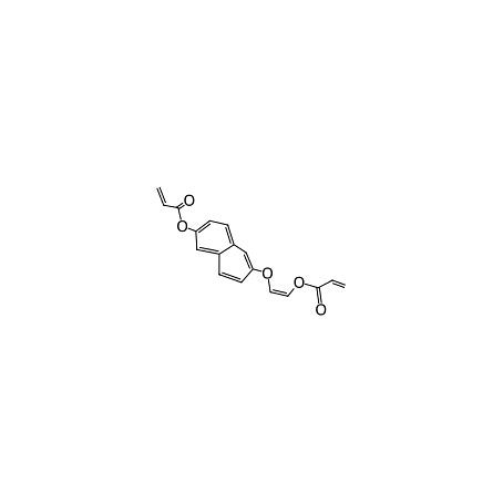 C=CC(=O)O/C=C\Oc1ccc2cc(OC(=O)C=C)ccc2c1